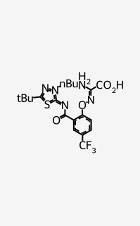 CCCCn1nc(C(C)(C)C)sc1=NC(=O)c1cc(C(F)(F)F)ccc1ON=C(N)C(=O)O